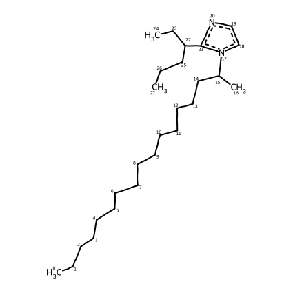 CCCCCCCCCCCCCCCC(C)n1ccnc1C(CC)CCC